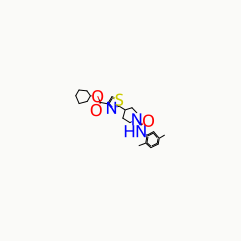 Cc1ccc(C)c(NC(=O)N2CCC(c3nc(C(=O)OC4CCCCC4)cs3)CC2)c1